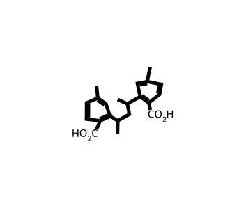 Cc1ccc(C(=O)O)c(C(C)CC(C)c2cc(C)ccc2C(=O)O)c1